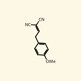 COc1ccc(CC=C(C#N)C#N)cc1